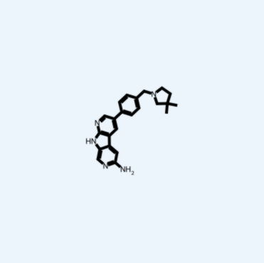 CC1(C)CCN(Cc2ccc(-c3cnc4[nH]c5cnc(N)cc5c4c3)cc2)C1